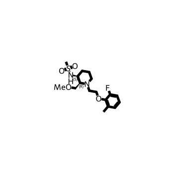 COC[C@H]1[C@@H](NS(C)(=O)=O)CCCN1CCOc1c(C)cccc1F